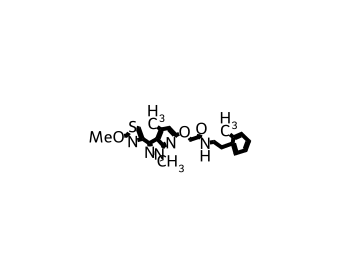 COc1nc(-c2nn(C)c3nc(OCC(=O)NCCc4ccccc4C)cc(C)c23)cs1